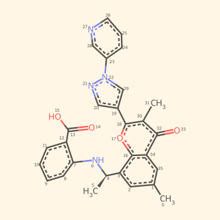 Cc1cc([C@@H](C)Nc2ccccc2C(=O)O)c2oc(-c3cnn(-c4cccnc4)c3)c(C)c(=O)c2c1